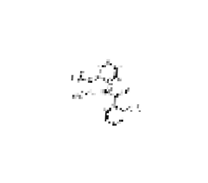 Cc1ccccc1C(=O)Nc1ccccc1C(C)CC(C)(C)C